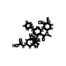 COC(=O)C1=C(CN2[C@@H]3C[C@H](CC(=O)O)C[C@H]2C(F)(F)C3)NC(c2nccs2)=N[C@H]1c1cccc(F)c1Cl